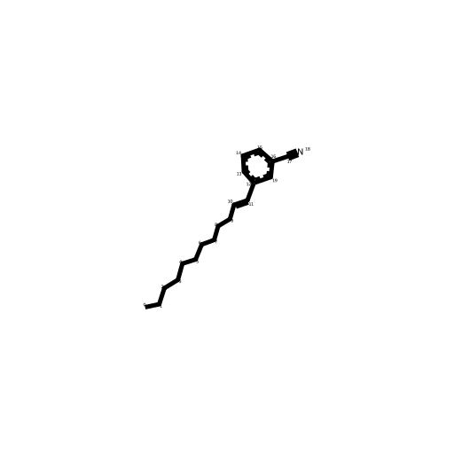 CCCCCCCCCCC=Cc1cc[c]c(C#N)c1